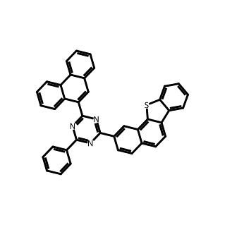 c1ccc(-c2nc(-c3ccc4ccc5c6ccccc6sc5c4c3)nc(-c3cc4ccccc4c4ccccc34)n2)cc1